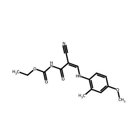 CCOC(=O)NC(=O)C(C#N)=CNc1ccc(OC)cc1C